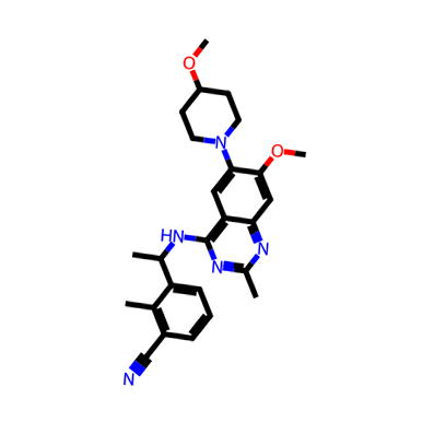 COc1cc2nc(C)nc(NC(C)c3cccc(C#N)c3C)c2cc1N1CCC(OC)CC1